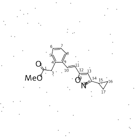 COC(=O)Cc1ccccc1C=Cc1cc(C2CC2)no1